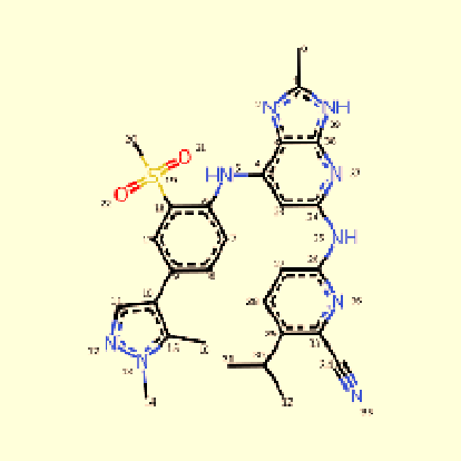 Cc1nc2c(Nc3ccc(-c4cnn(C)c4C)cc3S(C)(=O)=O)cc(Nc3ccc(C(C)C)c(C#N)n3)nc2[nH]1